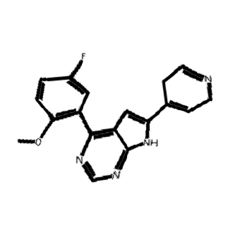 COc1ccc(F)cc1-c1ncnc2[nH]c(C3=CCN=CC3)cc12